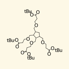 CC(C)(C)OC(=O)CCOCC1CC(COCCC(=O)OC(C)(C)C)C(COCCC(=O)OC(C)(C)C)C1COCCC(=O)OC(C)(C)C